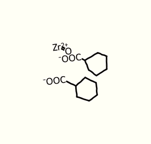 O=C([O-])C1CCCCC1.O=C([O-])C1CCCCC1.[O]=[Zr+2]